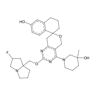 CC1(O)CCCN(c2nc(OCC34CCCN3CC(F)C4)nc3c2COC2(CCCc4cc(O)ccc42)C3)C1